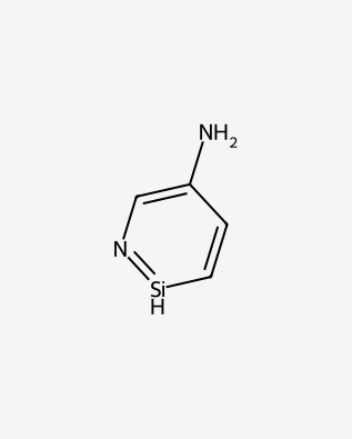 Nc1cc[siH]nc1